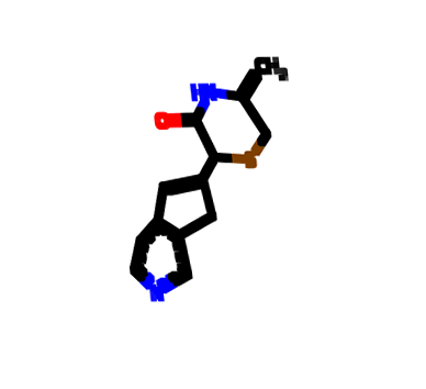 C=C1CSC(C2=Cc3ccncc3C2)C(=O)N1